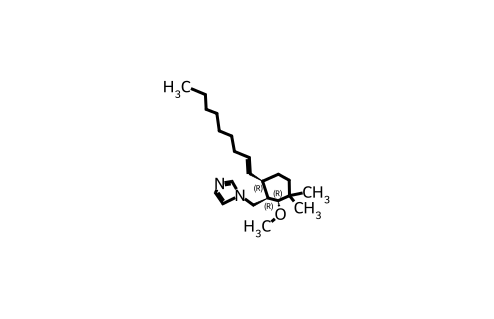 CCCCCCCC=C[C@H]1CCC(C)(C)[C@H](OC)[C@H]1Cn1ccnc1